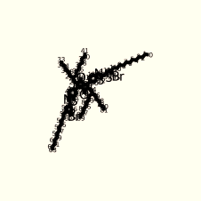 CCCCCCCCCCCCc1cc(-c2nc3ccc(C4=C5C(=O)N(CC(CCCCCC)CCCCCCCC)C(c6ccc7nc(-c8cc(CCCCCCCCCCCC)c(Br)s8)sc7c6)=C5C(=O)N4CC(CCCCCC)CCCCCCCC)cc3s2)sc1Br